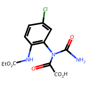 CCOC(=O)Nc1ccc(Cl)cc1N(C(N)=O)C(=O)C(=O)O